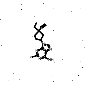 C#CC1(CC)CCC(n2cnc3c(N)nc(F)nc32)C1